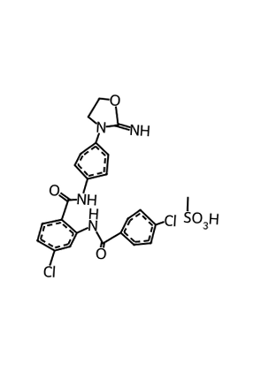 CS(=O)(=O)O.N=C1OCCN1c1ccc(NC(=O)c2ccc(Cl)cc2NC(=O)c2ccc(Cl)cc2)cc1